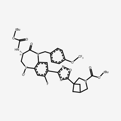 CC(C)(C)OC(=O)N[C@H]1C[S+]([O-])c2cc(F)c(-c3noc(C45CC(CN(C(=O)OC(C)(C)C)C4)C5)n3)cc2N(Cc2ccc(OC(F)(F)F)cc2)C1=O